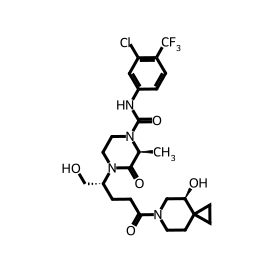 C[C@H]1C(=O)N([C@@H](CO)CCC(=O)N2CCC3(CC3)[C@H](O)C2)CCN1C(=O)Nc1ccc(C(F)(F)F)c(Cl)c1